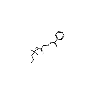 CCCC(C)(C)OC(=O)CCSC(=S)c1ccccc1